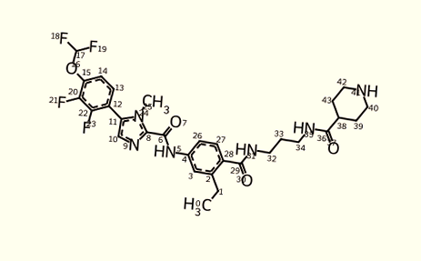 CCc1cc(NC(=O)c2ncc(-c3ccc(OC(F)F)c(F)c3F)n2C)ccc1C(=O)NCCCNC(=O)C1CCNCC1